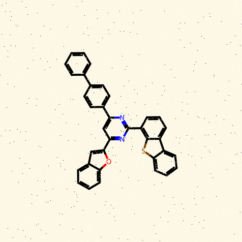 c1ccc(-c2ccc(-c3cc(-c4cc5ccccc5o4)nc(-c4cccc5c4sc4ccccc45)n3)cc2)cc1